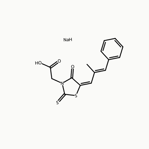 CC(=C\c1ccccc1)/C=C1/SC(=S)N(CC(=O)O)C1=O.[NaH]